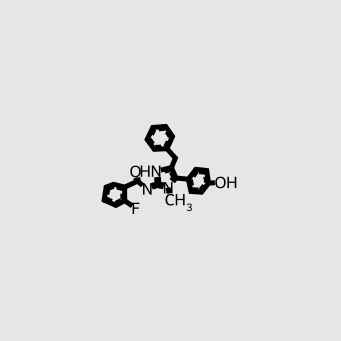 Cn1c(-c2ccc(O)cc2)c(Cc2ccccc2)[nH]/c1=N\C(=O)c1ccccc1F